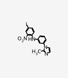 Cc1nccn1-c1cccc(Nc2ccc(I)cc2[N+](=O)[O-])c1